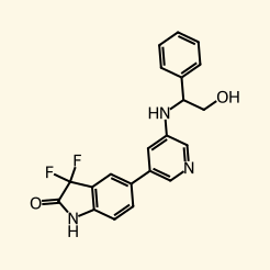 O=C1Nc2ccc(-c3cncc(NC(CO)c4ccccc4)c3)cc2C1(F)F